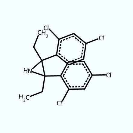 CCC1(c2ccc(Cl)cc2Cl)NC1(CC)c1ccc(Cl)cc1Cl